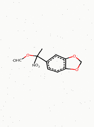 CC(O[C]=O)(c1ccc2c(c1)OCO2)[N+](=O)[O-]